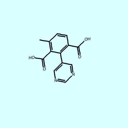 Cc1ccc(C(=O)O)c(-c2cncnc2)c1C(=O)O